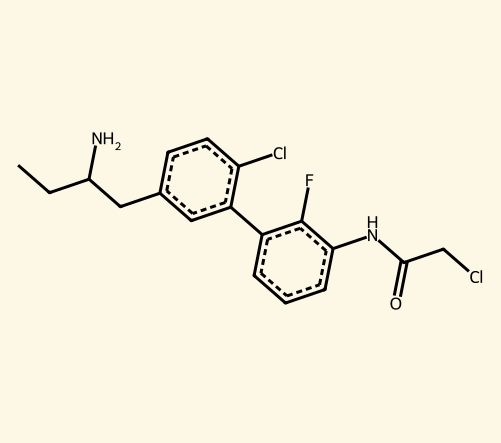 CCC(N)Cc1ccc(Cl)c(-c2cccc(NC(=O)CCl)c2F)c1